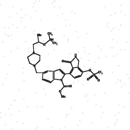 C[SiH](C)OC(CN1CCN(Cc2ccc3c(c2)cc(-c2ccc(OS(=O)(=O)C(F)(F)F)c4c2C(=O)NC4)n3C(=O)OC(C)(C)C)CC1)C(C)(C)C